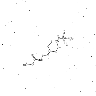 CC(C)(C)OC(=O)NCC[C@H]1CC[C@@H](OS(C)(=O)=O)CC1